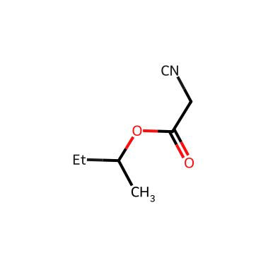 [C-]#[N+]CC(=O)OC(C)CC